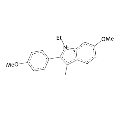 CCn1c(-c2ccc(OC)cc2)c(C)c2ccc(OC)cc21